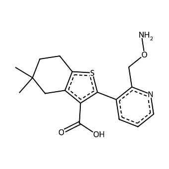 CC1(C)CCc2sc(-c3cccnc3CON)c(C(=O)O)c2C1